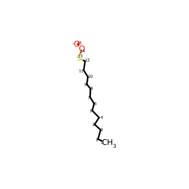 CCCCCCCCCCCCCSO[O]